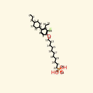 CCCC1CCC(c2ccc(OCCCCCCCCCCCP(=O)(O)O)c(F)c2CC)CC1